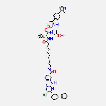 Cc1ncsc1-c1ccc([C@H](C)NC(=O)[C@@H]2C[C@@H](O)CN2C(=O)[C@@H](NC(=O)CCCCCCCCCNC(=O)c2cncc(Nc3ncc(Cl)c(-c4cccc(-c5ccccc5)c4)n3)c2)C(C)(C)C)cc1